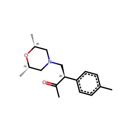 CC(=O)[C@@H](CN1C[C@@H](C)O[C@@H](C)C1)c1ccc(C)cc1